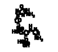 Nc1cc(N[C@@H]2C[C@H](COP(=O)(O)O)[C@@H](OP(=O)(O)OC[C@@H]3CC[C@H](n4cnc5c(=O)[nH]c(N)nc54)O3)C2)ncn1